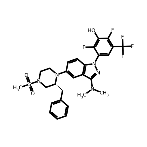 CN(C)c1nn(-c2cc(C(F)(F)F)c(F)c(O)c2F)c2ccc(N3CCN(S(C)(=O)=O)C[C@H]3Cc3ccccc3)cc12